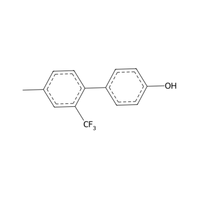 Cc1ccc(-c2ccc(O)cc2)c(C(F)(F)F)c1